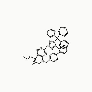 CCCN(Cc1ccc(-c2ccccc2-c2nnnn2C(c2ccccc2)(c2ccccc2)c2ccccc2)cc1)c1nc(C)nnc1C(=O)OCC